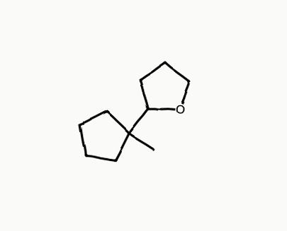 CC1(C2CCCO2)CCCC1